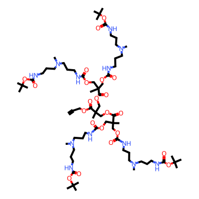 C#CCOC(=O)C(C)(COC(=O)C(C)(COC(=O)NCCCN(C)CCCNC(=O)OC(C)(C)C)COC(=O)NCCCN(C)CCCNC(=O)OC(C)(C)C)COC(=O)C(C)(COC(=O)NCCCN(C)CCCNC(=O)OC(C)(C)C)COC(=O)NCCCN(C)CCCNC(=O)OC(C)(C)C